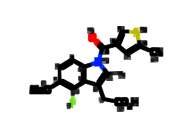 COc1ccc2c(c1F)c(CC(=O)O)c(C)n2C(=O)c1csc(C#N)c1